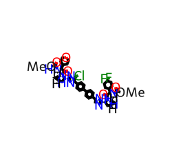 COC(=O)N[C@H](C(=O)N1[C@@H]2C[C@@H]2C[C@H]1c1ncc(-c2ccc(-c3ccc(-c4[nH]c([C@@H]5C[C@H]6C[C@H]6N5C(=O)[C@@H](NC(=O)OC)C5CCOCC5)nc4Cl)cc3)cc2)[nH]1)C1CCC(F)(F)CC1